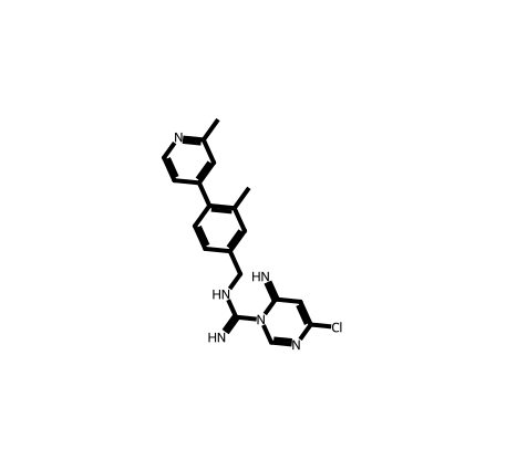 Cc1cc(-c2ccc(CNC(=N)n3cnc(Cl)cc3=N)cc2C)ccn1